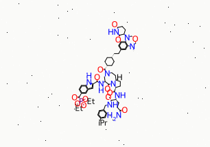 CCOP(=O)(OCC)C(=O)c1ccc2[nH]c(C(=O)N[C@H]3CN(C(=O)[C@H]4CC[C@@H](CCc5ccc6c(c5)N(C)COCN6C5CCC(=O)NC5=O)CC4)CC[C@H]4CC[C@@H](C(=O)N[C@@H](CCC(N)=O)C(=O)NCc5ccc(C(C)C)cc5)N4C3=O)cc2c1